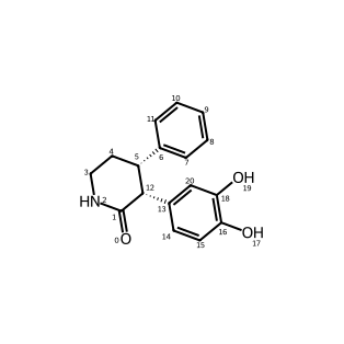 O=C1NCC[C@H](c2ccccc2)[C@@H]1c1ccc(O)c(O)c1